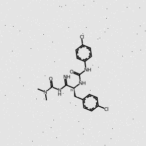 CN(C)C(=O)NC(=N)[C@H](Cc1ccc(Cl)cc1)NC(=O)Nc1ccc(Cl)cc1